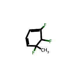 CC1(F)C=CC=C(F)C1F